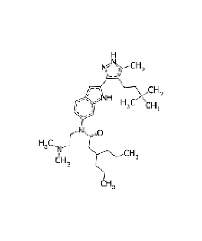 CCCC(CCC)CC(=O)N(CCN(C)C)c1ccc2cc(-c3n[nH]c(C)c3CCC(C)(C)C)[nH]c2c1